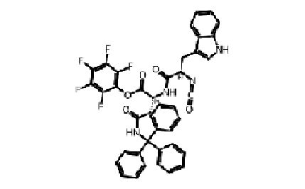 O=C=N[C@H](Cc1c[nH]c2ccccc12)C(=O)N[C@H](CC(=O)NC(c1ccccc1)(c1ccccc1)c1ccccc1)C(=O)Oc1c(F)c(F)c(F)c(F)c1F